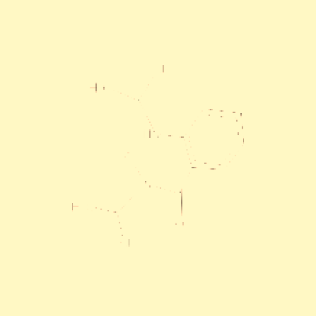 CC(C)Nc1ccccc1C(=O)N(C)C(C)C